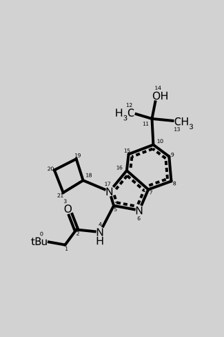 CC(C)(C)CC(=O)Nc1nc2ccc(C(C)(C)O)cc2n1C1CCC1